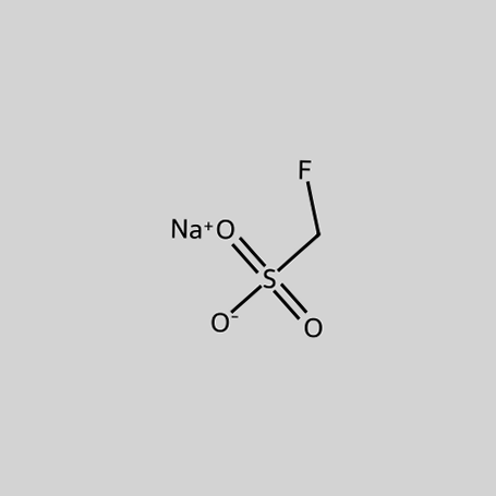 O=S(=O)([O-])CF.[Na+]